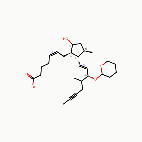 CC#CCC(C)[C@@H](/C=C/[C@@H]1[C@@H](C/C=C\CCCC(=O)O)[C@@H](O)C[C@H]1C)OC1CCCCO1